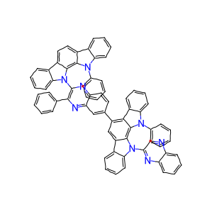 c1ccc(-c2nc3cc(-c4cc5c6ccccc6n(-c6cnc7ccccc7n6)c5c5c4c4ccccc4n5-c4ccccc4)ccc3nc2-n2c3ccccc3c3ccc4c5ccccc5n(-c5ccccc5)c4c32)cc1